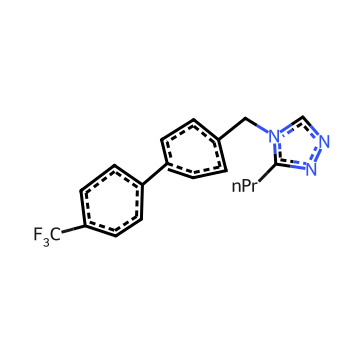 CCCc1nncn1Cc1ccc(-c2ccc(C(F)(F)F)cc2)cc1